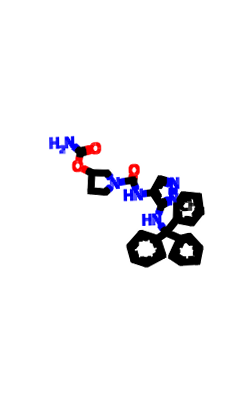 Cn1ncc(NC(=O)N2CCC(OC(N)=O)C2)c1NC(c1ccccc1)(c1ccccc1)c1ccccc1